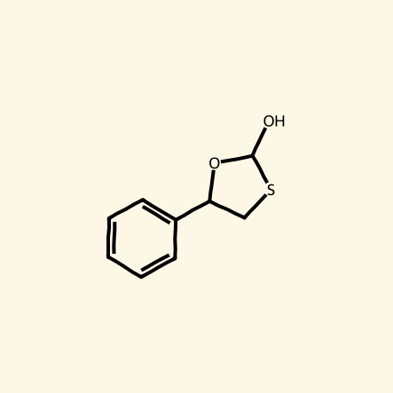 OC1OC(c2ccccc2)CS1